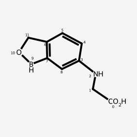 O=C(O)CNc1ccc2c(c1)BOC2